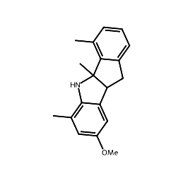 COc1cc(C)c2c(c1)C1Cc3cccc(C)c3C1(C)N2